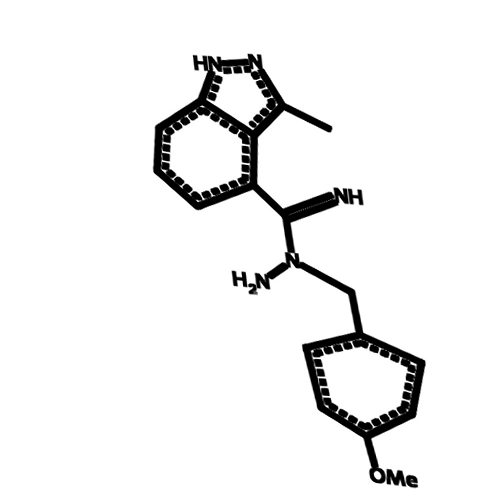 COc1ccc(CN(N)C(=N)c2cccc3[nH]nc(C)c23)cc1